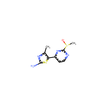 Cc1nc(N)sc1-c1ccnc([S+](C)[O-])n1